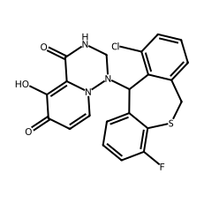 O=C1NCN(C2c3cccc(F)c3SCc3cccc(Cl)c32)n2ccc(=O)c(O)c21